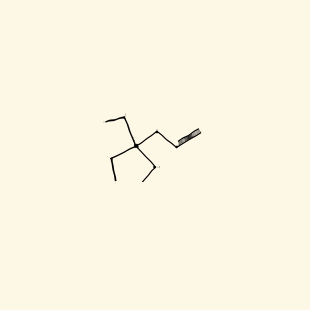 C=CCC(CO)(CO)CO